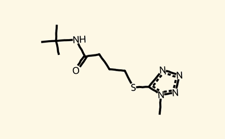 Cn1nnnc1SCCCC(=O)NC(C)(C)C